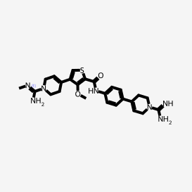 C/N=C(\N)N1CC=C(c2csc(C(=O)Nc3ccc(C4=CCN(C(=N)N)CC4)cc3)c2OC)CC1